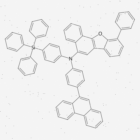 c1ccc(-c2cccc3c2oc2c4ccccc4c(N(c4ccc(-c5cc6ccccc6c6ccccc56)cc4)c4ccc([Si](c5ccccc5)(c5ccccc5)c5ccccc5)cc4)cc32)cc1